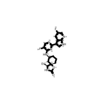 CC[C@@H]1NC(=O)O[C@]12CCC[C@H](Nc1nc(-c3c[nH]c4ncc(F)cc34)ncc1F)C2